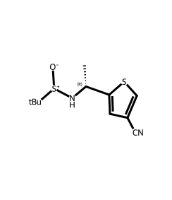 C[C@@H](N[S+]([O-])C(C)(C)C)c1cc(C#N)cs1